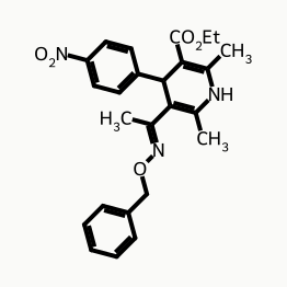 CCOC(=O)C1=C(C)NC(C)=C(C(C)=NOCc2ccccc2)C1c1ccc([N+](=O)[O-])cc1